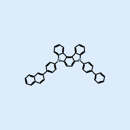 c1ccc(-c2ccc(-n3c4ccccc4c4c5c6ccccc6n(-c6ccc(-c7ccc8ccccc8c7)cc6)c5ccc43)cc2)cc1